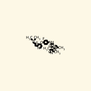 CCN(CC)Cc1cc2nccc(Oc3ccc(NC(=O)CN(CC(C)C)S(=O)(=O)c4c(C)noc4C)cc3F)c2s1